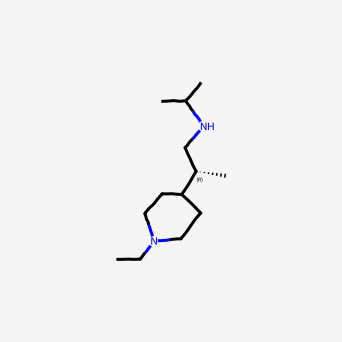 CCN1CCC([C@@H](C)CNC(C)C)CC1